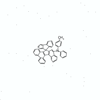 Cc1ccc(N(c2ccccc2)c2cc3c(c4ccccc24)-c2c(c4ccccc4c4ccccc24)C32c3ccccc3-c3ccccc32)cc1